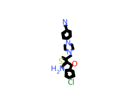 N#Cc1ccc(N2CCN(Cc3csc(N)c3C(=O)c3ccc(Cl)cc3)CC2)cc1